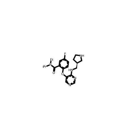 CCN(C(=O)c1cc(F)ccc1Oc1cncnc1NC[C@H]1CCNC1)C(C)C